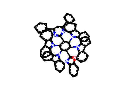 c1ccc(-c2cc(-c3ccccc3)nc(-c3c(-n4c5ccccc5c5ccccc54)c(-n4c5ccccc5c5ccccc54)c(-c4nc5ccccc5o4)c(-n4c5ccccc5c5ccccc54)c3-n3c4ccccc4c4ccccc43)n2)cc1